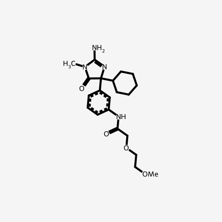 COCCOCC(=O)Nc1cccc(C2(C3CCCCC3)N=C(N)N(C)C2=O)c1